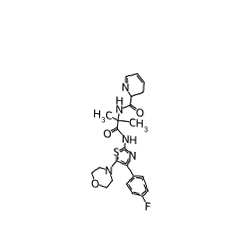 CC(C)(NC(=O)C1CC=CC=N1)C(=O)Nc1nc(-c2ccc(F)cc2)c(N2CCOCC2)s1